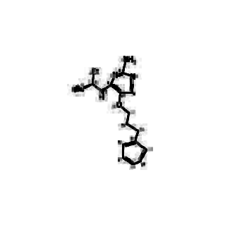 CCCC[C@@H](CC)Nc1nc(N)ncc1OCCCc1ccccc1